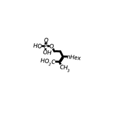 CCCCCCC(CCOP(=O)(O)O)=C(C)C(=O)O